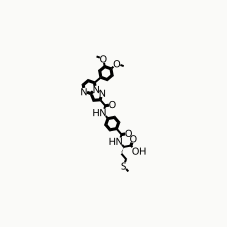 COc1ccc(-c2ccnc3cc(C(=O)Nc4ccc(C(=O)N[C@@H](CCSC)C(=O)O)cc4)nn23)cc1OC